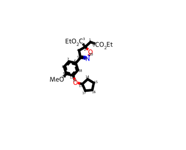 CCOC(=O)CC1(C(=O)OCC)CC(c2ccc(OC)c(OC3CCCC3)c2)=NO1